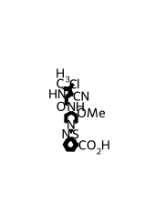 COC1CN(c2nc3cccc(C(=O)O)c3s2)CCC1NC(=O)c1[nH]c(C)c(Cl)c1C#N